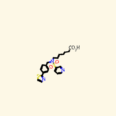 O=C(O)CCCCCCN(Cc1ccc(-c2nccs2)cc1)S(=O)(=O)c1cccnc1